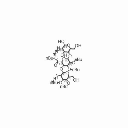 CCCCOC(=O)[C@@H]1O[C@@H](O[C@@H]2C(CO)O[C@@H](O)[C@@H](N=[N+]=[N-])C2O)[C@@H](OCCCC)C(OCCCC)[C@@H]1O[C@H]1O[C@@H](CO)[C@@H](OCCCC)[C@H](OCCCC)C1N=[N+]=[N-]